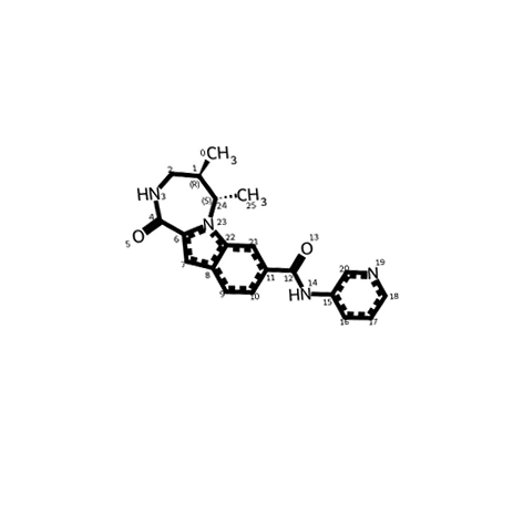 C[C@@H]1CNC(=O)c2cc3ccc(C(=O)Nc4cccnc4)cc3n2[C@H]1C